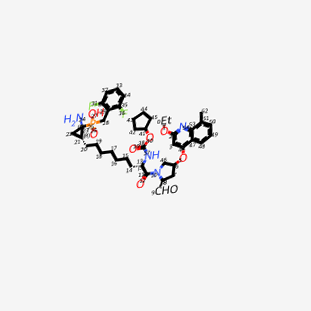 CCOc1cc(OC2C[C@@H](C=O)N(C(=O)[C@H](CCCCCCC[C@@H]3C[C@]3(N)P(=O)(O)Cc3c(F)cccc3F)NC(=O)OC3CCCC3)C2)c2cccc(C)c2n1